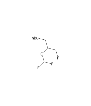 CCCCCC(CF)OC(F)F